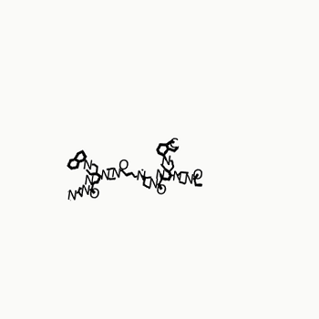 C=CC(=O)N1CCN(c2cc(C(=O)N3CCC(N(C)C/C=C/C(=O)N4CCN(c5cc(C(=O)N6CC(N(C)C)C6)nc6c5CCN(c5cccc7ccccc57)C6)CC4)C3)nc3c2CCN(c2cccc4ccccc24)C3)CC1